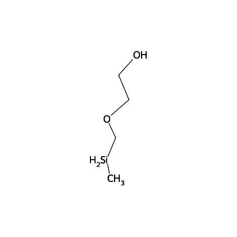 C[SiH2]COCCO